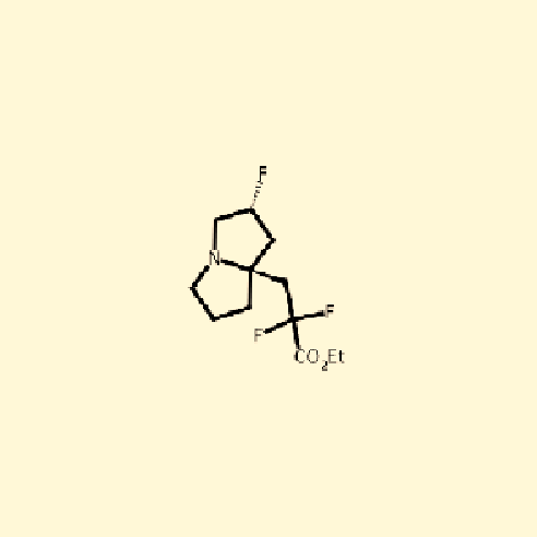 CCOC(=O)C(F)(F)C[C@@]12CCCN1C[C@H](F)C2